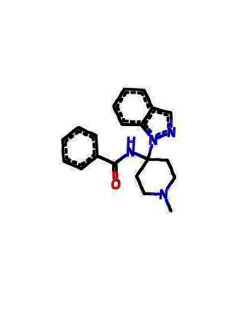 CN1CCC(NC(=O)c2ccccc2)(n2ncc3ccccc32)CC1